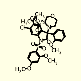 COc1ccc(S(=O)(=O)N2C(=O)C(c3ccccc3OC)(N3CCOC[C@H]3C(=O)N(C)C)c3cc(C)c(Cl)cc32)c(OC)c1